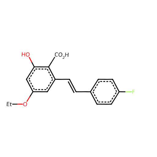 CCOc1cc(O)c(C(=O)O)c(C=Cc2ccc(F)cc2)c1